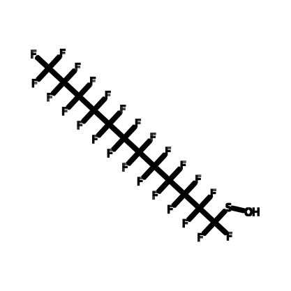 OSC(F)(F)C(F)(F)C(F)(F)C(F)(F)C(F)(F)C(F)(F)C(F)(F)C(F)(F)C(F)(F)C(F)(F)C(F)(F)C(F)(F)F